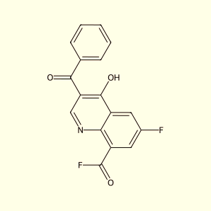 O=C(c1ccccc1)c1cnc2c(C(=O)F)cc(F)cc2c1O